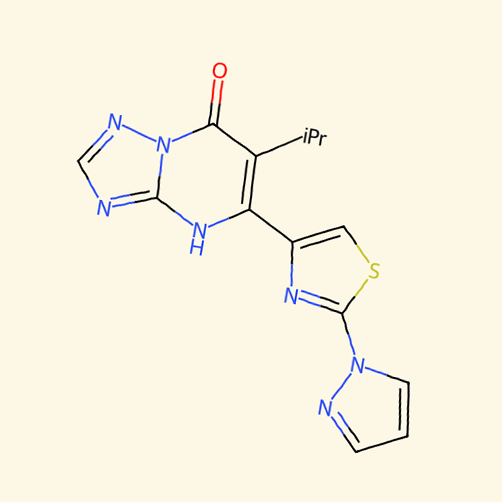 CC(C)c1c(-c2csc(-n3cccn3)n2)[nH]c2ncnn2c1=O